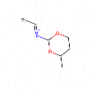 CC/C=N/C1OCCC(C)O1